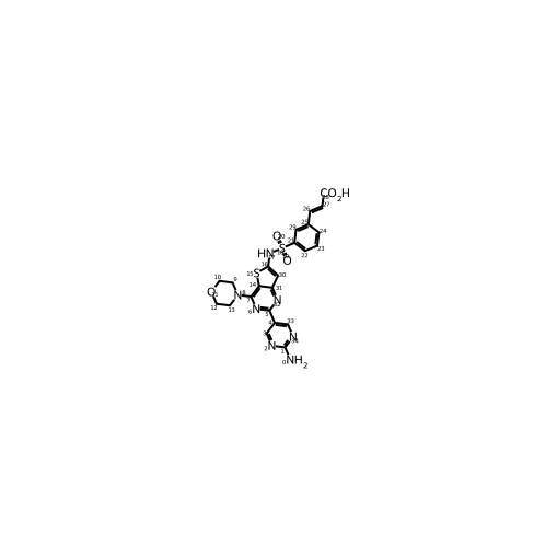 Nc1ncc(-c2nc(N3CCOCC3)c3sc(NS(=O)(=O)c4cccc(C=CC(=O)O)c4)cc3n2)cn1